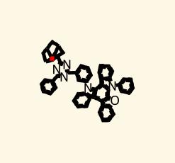 c1ccc(-c2nc(-c3cccc(-n4c5ccccc5c5c6c7ccccc7oc6c6c(c7ccccc7n6-c6ccccc6)c54)c3)nc(C34CC5CC(CC(C5)C3)C4)n2)cc1